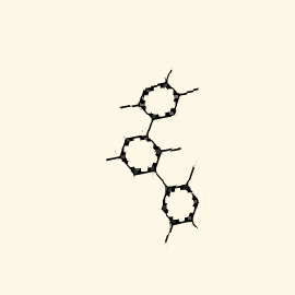 Cc1cc(-c2cc(C=O)cc(-c3cc(C)c(O)cc3C)c2C)c(C)cc1O